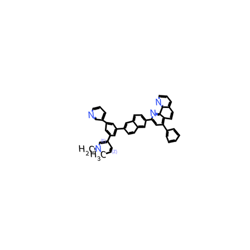 C=N/C=C(\C=C/C)c1cc(-c2cccnc2)cc(-c2ccc3cc(-c4cc(-c5ccccc5)c5ccc6cccnc6c5n4)ccc3c2)c1